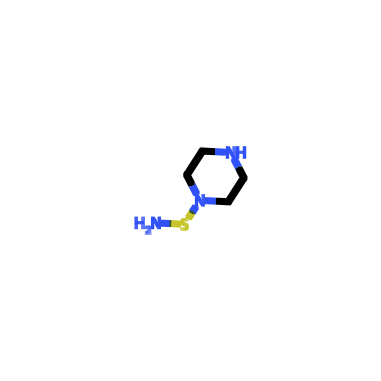 NSN1CCNCC1